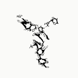 C#C[C@@H]1[C@@H](CNC2=NCCO2)C[C@@H](C(=O)Nc2nc(Br)ccc2C)N1C(=O)Cn1nc(C(C)=O)c2cc(-c3cnc(C)nc3)ncc21